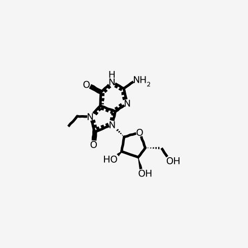 CCn1c(=O)n([C@@H]2O[C@H](CO)[C@@H](O)[C@H]2O)c2nc(N)[nH]c(=O)c21